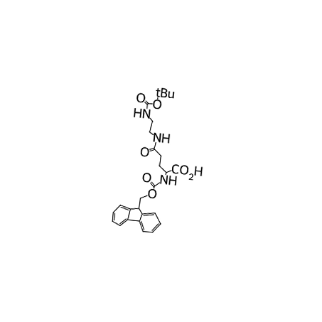 CC(C)(C)OC(=O)NCCNC(=O)CCC(NC(=O)OCC1c2ccccc2-c2ccccc21)C(=O)O